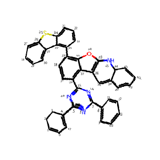 C1=CCCC(c2nc(-c3ccccc3)nc(-c3ccc(-c4cccc5sc6ccccc6c45)c4oc5c(c34)C=C3C=CC=CC3N5)n2)=C1